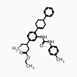 CCOC(=O)CC(CC)c1ccc(C2=CCC(c3ccccc3)CC2)c(NC(=O)Nc2ccc(C)cc2)c1